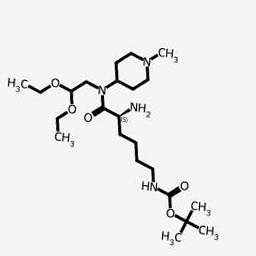 CCOC(CN(C(=O)[C@@H](N)CCCCNC(=O)OC(C)(C)C)C1CCN(C)CC1)OCC